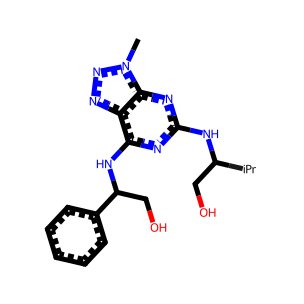 CC(C)C(CO)Nc1nc(NC(CO)c2ccccc2)c2nnn(C)c2n1